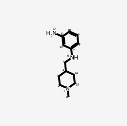 CN1CCC(CNc2cccc(N)c2)CC1